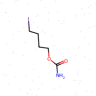 NC(=O)OCCCCI